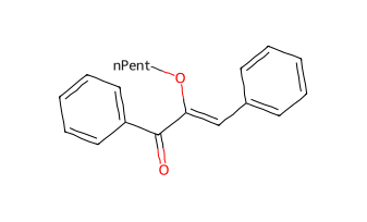 CCCCCOC(=Cc1ccccc1)C(=O)c1ccccc1